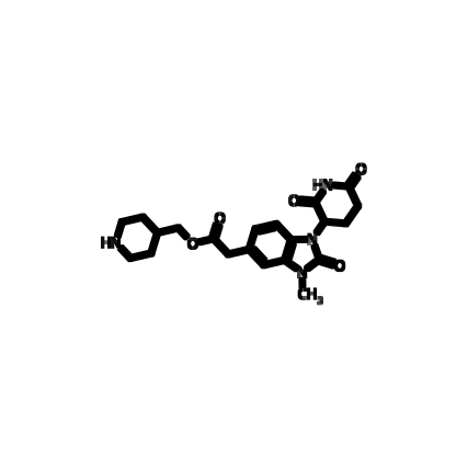 Cn1c(=O)n(C2CCC(=O)NC2=O)c2ccc(CC(=O)OCC3CCNCC3)cc21